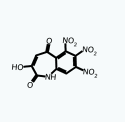 O=c1[nH]c2cc([N+](=O)[O-])c([N+](=O)[O-])c([N+](=O)[O-])c2c(=O)cc1O